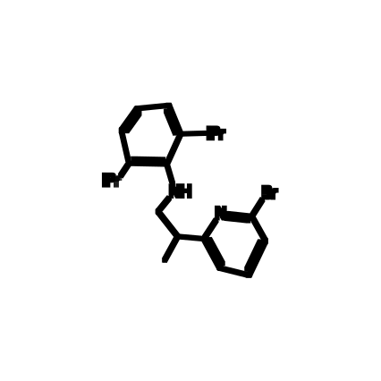 CC(C)c1cccc(C(C)C)c1NCC(C)c1cccc(Br)n1